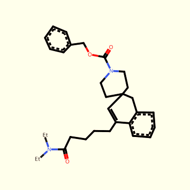 CCN(CC)C(=O)CCCCC1=CC2(CCN(C(=O)OCc3ccccc3)CC2)Cc2ccccc21